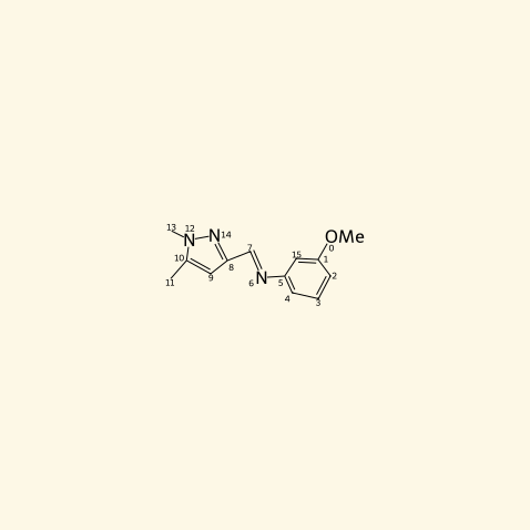 COc1cccc(N=Cc2cc(C)n(C)n2)c1